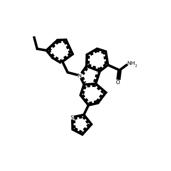 CCc1cccc(Cn2c3cc(-c4cccs4)c[c]c3c3c(C(N)=O)cccc32)c1